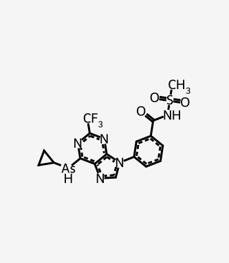 CS(=O)(=O)NC(=O)c1cccc(-n2cnc3c([AsH]C4CC4)nc(C(F)(F)F)nc32)c1